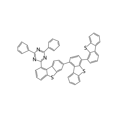 c1ccc(-c2nc(-c3ccccc3)nc(-c3cccc4sc5cc(-c6ccc(-c7cccc8c7sc7ccccc78)c7sc8ccccc8c67)ccc5c34)n2)cc1